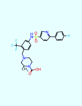 C[C@H]1CN(Cc2ccc(NS(=O)(=O)c3ccc(-c4ccc(F)cc4)nc3)cc2C(F)(F)F)CCN1C(=O)O